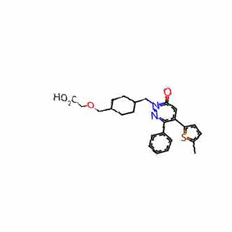 Cc1ccc(-c2cc(=O)n(CC3CCC(COCC(=O)O)CC3)nc2-c2ccccc2)s1